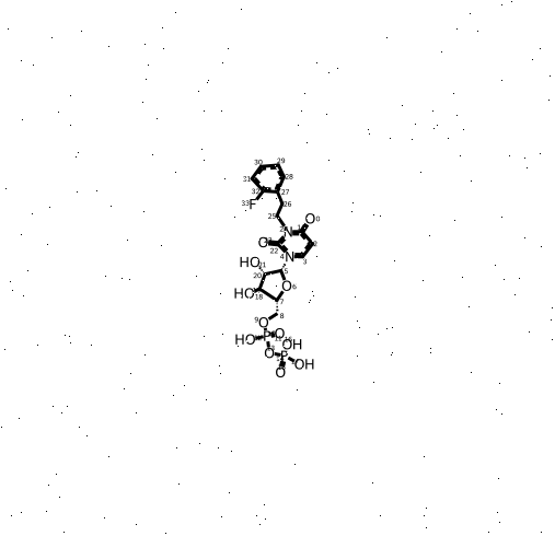 O=c1ccn([C@@H]2O[C@H](COP(=O)(O)OP(=O)(O)O)C(O)[C@@H]2O)c(=O)n1CCc1ccccc1F